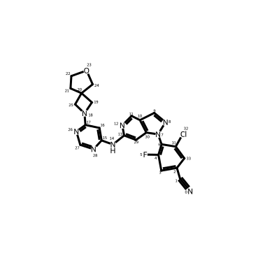 N#Cc1cc(F)c(-n2ncc3cnc(Nc4cc(N5CC6(CCOC6)C5)ncn4)cc32)c(Cl)c1